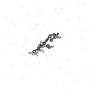 COc1cc(CN2CCN(C3CC4(C3)CN(c3ccc(C(=O)NS(=O)(=O)c5ccc(NCC6CCC(C)(O)CC6)c([N+](=O)[O-])c5)c(Oc5cnc6[nH]ccc6c5)c3)C4)[C@H](c3ccccc3C(C)C)C2)ccc1OC1CC1